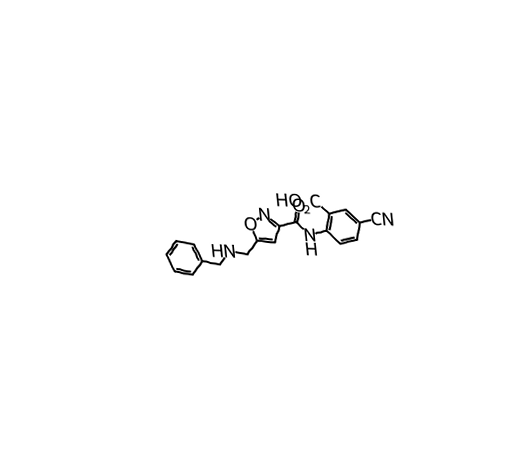 N#Cc1ccc(NC(=O)c2cc(CNCc3ccccc3)on2)c(C(=O)O)c1